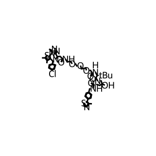 Cc1ncsc1-c1ccc(CNC(=O)[C@@H]2CC(O)CN2C(=O)[C@@H](NC(=O)COCCOCCOCCNC(=O)CC2N=C(c3ccc(Cl)cc3)c3c(sc(C)c3C)-n3c(C)nnc32)C(C)(C)C)cc1